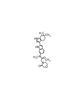 C[C@@H]1COCC(=O)N1CC(=O)N(C)c1ccc2cc(-c3n[nH]c4c3CCC(C)(C)C4)[nH]c2c1